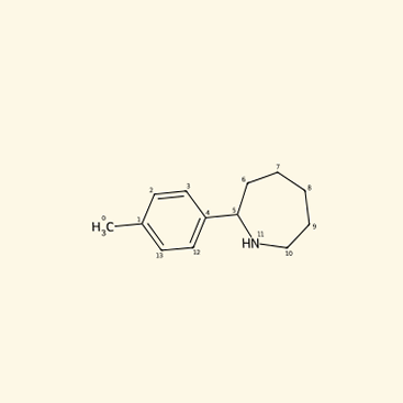 Cc1ccc(C2CCCCCN2)cc1